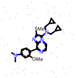 COc1cc(N(C)C)ccc1-c1nccn2c(N(CC3CC3)CC3CC3)c(SC)nc12